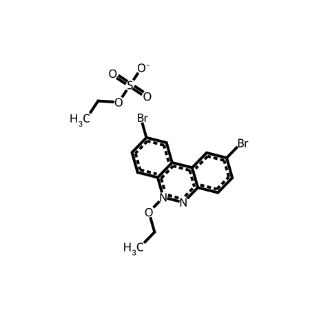 CCOS(=O)(=O)[O-].CCO[n+]1nc2ccc(Br)cc2c2cc(Br)ccc21